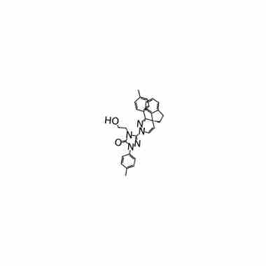 Cc1ccc(C2=NN(c3nn(-c4ccc(C)cc4)c(=O)n3CCO)C=C[C@]23CCc2ccccc23)cc1